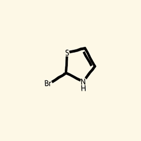 Br[C]1NC=CS1